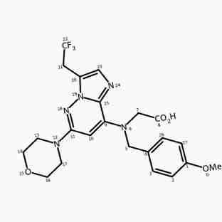 COc1ccc(CN(CC(=O)O)c2cc(N3CCOCC3)nn3c(CC(F)(F)F)cnc23)cc1